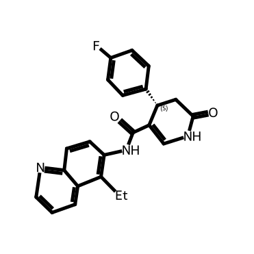 CCc1c(NC(=O)C2=CNC(=O)C[C@H]2c2ccc(F)cc2)ccc2ncccc12